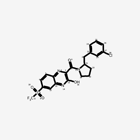 O=C(c1nc2ccc(S(=O)(=O)C(F)(F)F)cc2nc1O)N1CCCC1Cc1cccc(Cl)c1